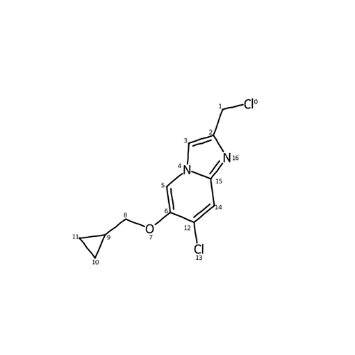 ClCc1cn2cc(OCC3CC3)c(Cl)cc2n1